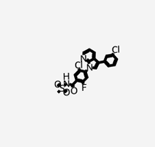 CS(=O)(=O)NC(=O)c1cc(Cl)c(-n2cc(-c3cccc(Cl)c3)c3cccnc32)cc1F